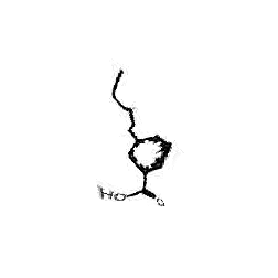 CC[CH]Cc1cccc(C(=O)O)c1